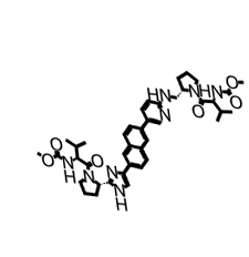 COC(=O)N[C@H](C(=O)N1CCC[C@H]1CNc1ccc(-c2ccc3cc(-c4c[nH]c([C@@H]5CCCN5C(=O)[C@@H](NC(=O)OC)C(C)C)n4)ccc3c2)cn1)C(C)C